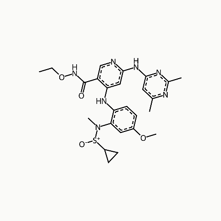 CCONC(=O)c1cnc(Nc2cc(C)nc(C)n2)cc1Nc1ccc(OC)cc1N(C)[S+]([O-])C1CC1